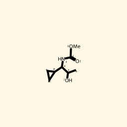 COC(=O)NC(C(C)O)C1CC1